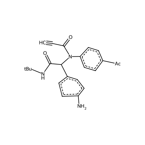 C#CC(=O)N(c1ccc(C(C)=O)cc1)C(C(=O)NC(C)(C)C)c1ccc(N)cc1